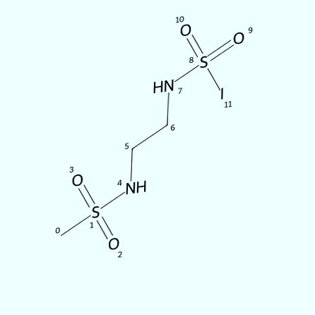 CS(=O)(=O)NCCNS(=O)(=O)I